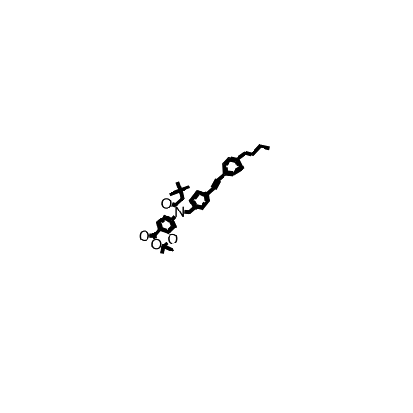 CCCCc1ccc(C#Cc2ccc(CN(C(=O)CC(C)(C)C)c3ccc4c(c3)OC(C)(C)OC4=O)cc2)cc1